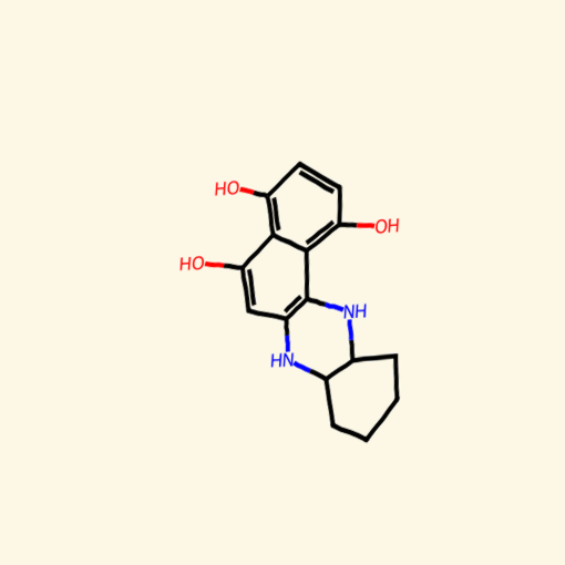 Oc1ccc(O)c2c3c(cc(O)c12)NC1CCCCC1N3